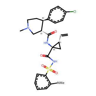 C=C[C@@H]1C[C@]1(NC(=O)[C@@H]1CN(C)CC[C@H]1c1ccc(Cl)cc1)C(=O)NS(=O)(=O)c1ccccc1NC